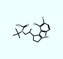 CC(CN(C(=O)O)C(C)(C)C)C1CCc2[nH]c3ccc(F)c(Cl)c3c21